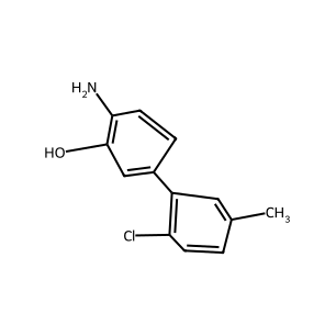 Cc1ccc(Cl)c(-c2ccc(N)c(O)c2)c1